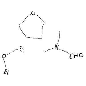 C1CCOC1.CCOCC.CN(C)C=O